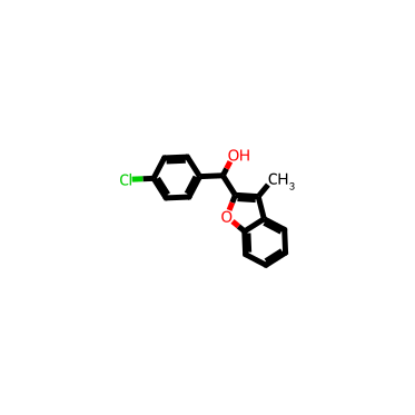 Cc1c(C(O)c2ccc(Cl)cc2)oc2ccccc12